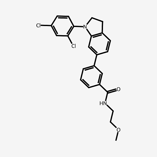 COCCNC(=O)c1cccc(-c2ccc3c(c2)N(c2ccc(Cl)cc2Cl)CC3)c1